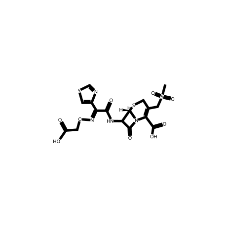 CS(=O)(=O)CC1=C(C(=O)O)N2C(=O)C(NC(=O)C(=NOCC(=O)O)c3cscn3)[C@@H]2SC1